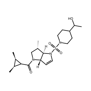 CC(O)C1CCN(S(=O)(=O)N2C=C[C@H]3[C@H]2[C@@H](C)CN3C(=O)C2[C@@H](C)[C@H]2C)CC1